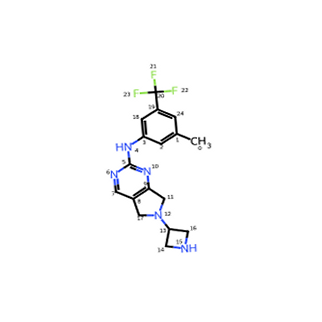 Cc1cc(Nc2ncc3c(n2)CN(C2CNC2)C3)cc(C(F)(F)F)c1